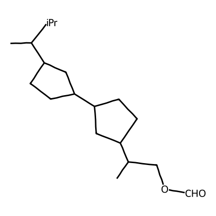 CC(C)C(C)C1CCC(C2CCC(C(C)COC=O)C2)C1